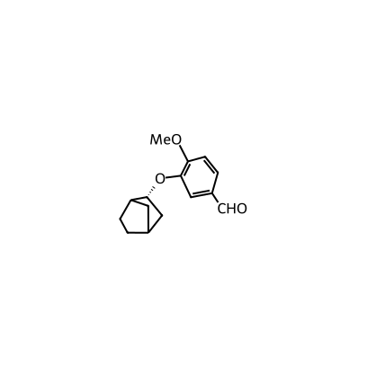 COc1ccc(C=O)cc1O[C@@H]1CC2CCC1C2